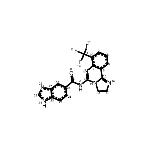 O=C(NC1=Nc2c(cccc2C(F)(F)F)C2=NCCN12)c1ccc2[nH]cnc2c1